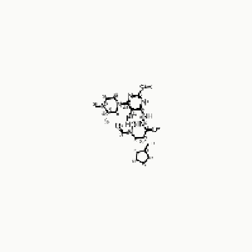 CSc1nc(NNC(=O)[C@H](CC2CCCC2)CN(O)C=O)c(F)c(N2CCN(C)[C@@H](C)C2)n1